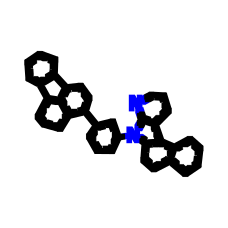 c1cc(-c2ccc3c4c(cccc24)-c2ccccc2-3)cc(-n2c3ccc4ccccc4c3c3cccnc32)c1